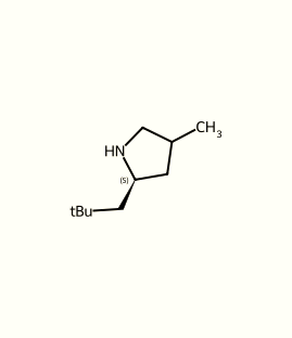 CC1CN[C@H](CC(C)(C)C)C1